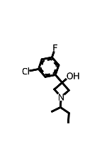 CCC(C)N1CC(O)(c2cc(F)cc(Cl)c2)C1